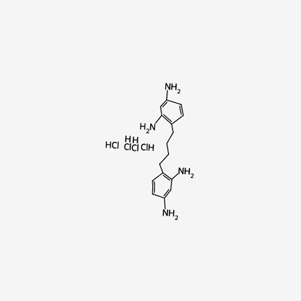 Cl.Cl.Cl.Cl.Nc1ccc(CCCCc2ccc(N)cc2N)c(N)c1